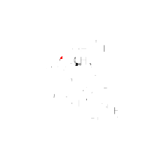 CC[Si](CC)(CC)OC1CC(C)C2(O)CC3CC=C(C)C12C3(C)C